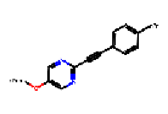 CCCCCOc1cnc(C#Cc2ccc(CCC)cc2)nc1